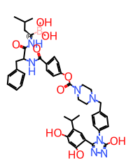 CC(C)C[C@H](NC(=O)C(Cc1ccccc1)NC(=O)c1ccc(OC(=O)N2CCN(Cc3ccc(-n4c(O)nnc4-c4cc(C(C)C)c(O)cc4O)cc3)CC2)cc1)B(O)O